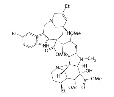 CCC1=C[C@H]2CN(C1)Cc1c([nH]c3ccc(Br)cc13)[C@@](C(=O)OC)(C1C=C3C(=CC1OC)N(C)[C@H]1[C@@](O)(C(=O)OC)[C@H](OC(C)=O)C4[C@@H](CC)CCN5CC[C@]31[C@H]45)C2